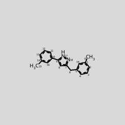 Cc1cccc(Cc2cc(-c3cccc(C)c3)[nH]n2)c1